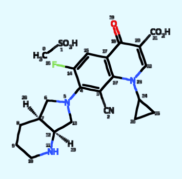 CS(=O)(=O)O.N#Cc1c(N2C[C@@H]3CCCN[C@@H]3C2)c(F)cc2c(=O)c(C(=O)O)cn(C3CC3)c12